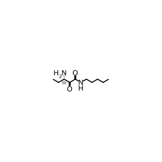 CCCCCNC(=O)C(=O)[C@@H](N)CC